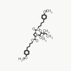 CCC(C)(C)C(=O)C(=O)N1[C@@H](C(=O)OCCCCc2ccc(OC)cc2)C[C@H]1C(=O)OCCCCc1ccc(OC)cc1